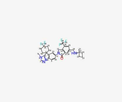 Cn1cnnc1C1(c2cccc(N3Cc4c(cc(CNC5(C)CCC5)cc4C(F)(F)F)C3=O)c2)CCC(F)(F)CC1